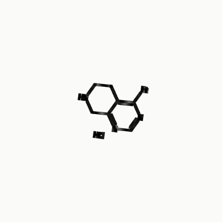 CCc1ncnc2c1CCNC2.Cl